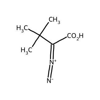 CC(C)(C)C(=[N+]=[N-])C(=O)O